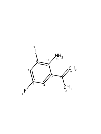 C=C(C)c1cc(F)cc(I)c1N